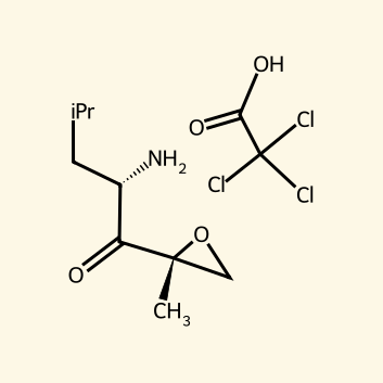 CC(C)C[C@H](N)C(=O)[C@@]1(C)CO1.O=C(O)C(Cl)(Cl)Cl